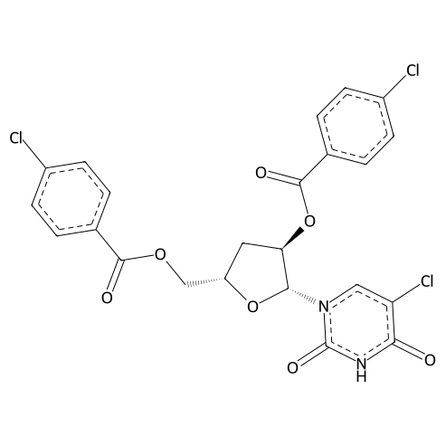 O=C(OC[C@@H]1C[C@@H](OC(=O)c2ccc(Cl)cc2)[C@H](n2cc(Cl)c(=O)[nH]c2=O)O1)c1ccc(Cl)cc1